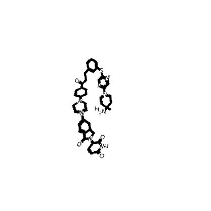 CC1(N)CCN(c2cnc(SC3=CCCC(CCC(=O)C4CCC(N5CCN(C6=CC=C7C(=O)N(C8CCC(=O)NC8=O)CC7C6)CC5)CC4)=C3)cn2)CC1